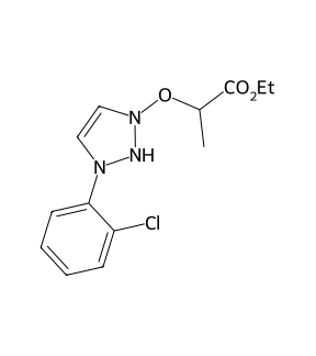 CCOC(=O)C(C)ON1C=CN(c2ccccc2Cl)N1